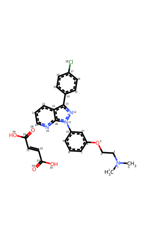 CN(C)CCOc1cccc(-n2nc(-c3ccc(Cl)cc3)c3cccnc32)c1.O=C(O)C=CC(=O)O